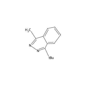 Cc1nnc(C(C)(C)C)c2ccccc12